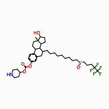 CC12CCC3c4ccc(OC(=O)OC5CCNCC5)cc4CC(CCCCCCCCC[S+]([O-])CCCC(F)(F)C(F)(F)F)C3C1CCC2O